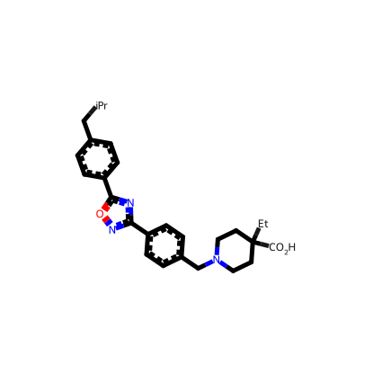 CCC1(C(=O)O)CCN(Cc2ccc(-c3noc(-c4ccc(CC(C)C)cc4)n3)cc2)CC1